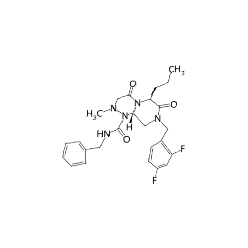 CCC[C@H]1C(=O)N(Cc2ccc(F)cc2F)C[C@H]2N1C(=O)CN(C)N2C(=O)NCc1ccccc1